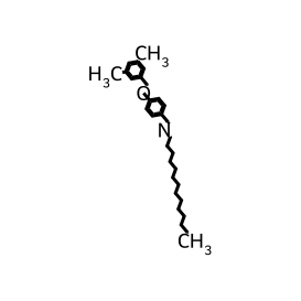 CCCCCCCCCCCCCC/N=C/c1ccc(OCc2cc(C)cc(C)c2)cc1